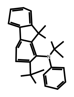 CC(C)(C)c1ccc2c(c1N(c1ccccc1)C(C)(C)C)C(C)(C)c1ccccc1-2